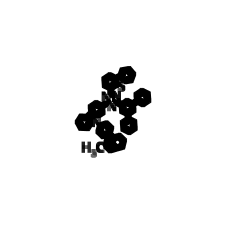 CC1CC2CCCC(c3ccc(-n4c5ccccc5c5ccc(-c6nc(-c7cc(-c8ccccc8)cc(-c8ccccc8)c7)nc(-c7cccc8c7sc7ccccc78)n6)cc54)cc3)(C1)C2